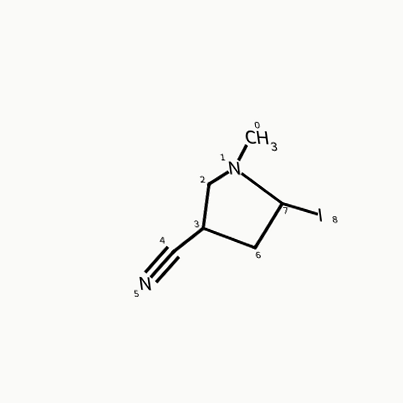 CN1CC(C#N)CC1I